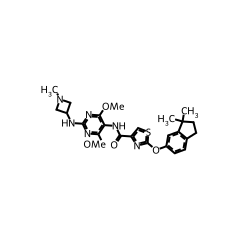 COc1nc(NC2CN(C)C2)nc(OC)c1NC(=O)c1csc(Oc2ccc3c(c2)C(C)(C)CC3)n1